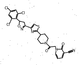 N#Cc1cccn(CC(=O)N2CCC(c3nc(C4=NOC(c5c(Cl)cc(Cl)cc5Cl)C4)cs3)CC2)c1=O